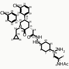 CC(=O)N/C(C)=C/N(N)C1CCC(BNC(=O)C[C@H]2C[C@H](c3cccc(Cl)c3)[C@@H](c3ccc(Cl)cc3)N(CC3CC3)C2=O)CC1